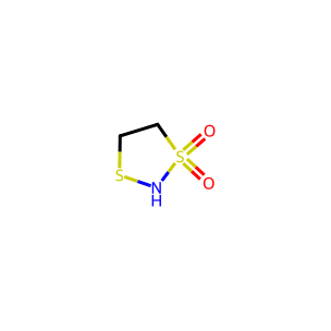 O=S1(=O)CCSN1